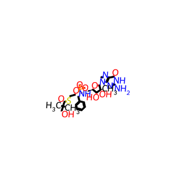 CC(C)(CO)C(=O)SCCOP(=O)(NCc1ccccc1)OC[C@H]1O[C@@H](n2cnc3c(=O)[nH]c(N)nc32)[C@@](C)(O)C1O